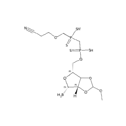 B[C@@H]1O[C@H](COP(=S)(S)CP(=S)(S)COCCC#N)C2OC(OC)O[C@@H]21